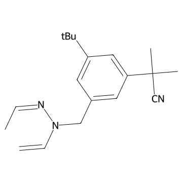 C=CN(Cc1cc(C(C)(C)C)cc(C(C)(C)C#N)c1)/N=C\C